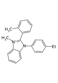 CCc1ccc(-n2c(-c3ccccc3C)[n+](C)c3ccccc32)cc1